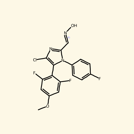 COc1cc(F)c(-c2c(Cl)nc(/C=N/O)n2-c2ccc(F)cc2)c(F)c1